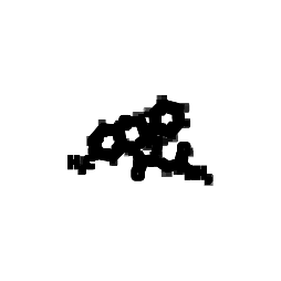 Cc1ccc2c(c1)N1C(=O)N(CC(N)=O)CC1(c1ccccc1)CO2